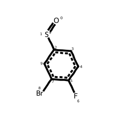 O=[S+]c1ccc(F)c(Br)c1